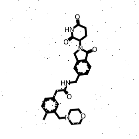 Cc1ccc(CC(=O)NCc2ccc3c(c2)CN(C2CCC(=O)NC2=O)C3=O)cc1CN1CCOCC1